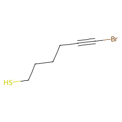 SCCCCC#CBr